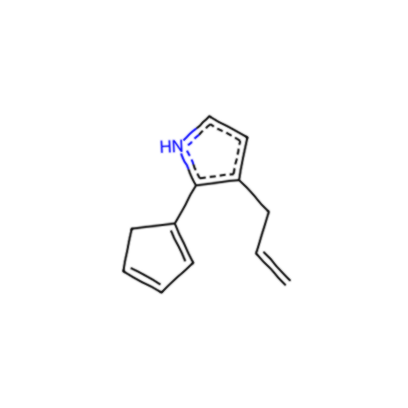 C=CCc1cc[nH]c1C1=CC=CC1